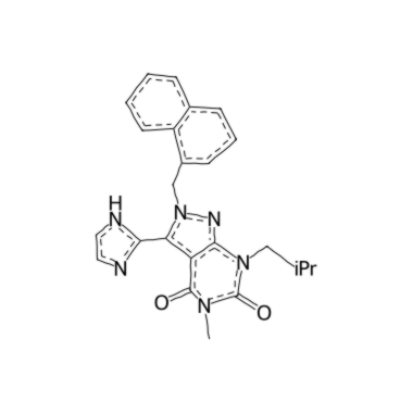 CC(C)Cn1c(=O)n(C)c(=O)c2c(-c3ncc[nH]3)n(Cc3cccc4ccccc34)nc21